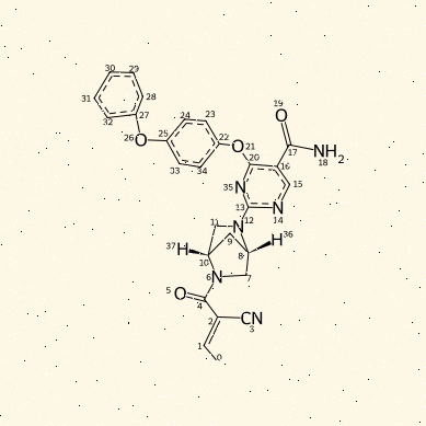 C/C=C(\C#N)C(=O)N1C[C@@H]2C[C@H]1CN2c1ncc(C(N)=O)c(Oc2ccc(Oc3ccccc3)cc2)n1